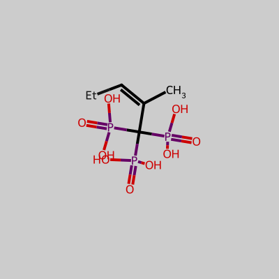 [CH2]CC=C(C)C(P(=O)(O)O)(P(=O)(O)O)P(=O)(O)O